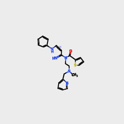 CN(CCN(C(=N)/C=C\Nc1ccccc1)C(=O)c1cccs1)Cc1ccccn1